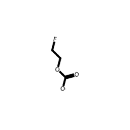 [O]C(=O)OCCF